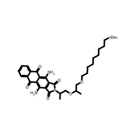 CCCCCCCCCCCCCCCCCCCOCC(C)OCC(C)n1c(=O)c2c(N)c3c(=O)c4ccccc4c(=O)c3c(N)c2c1=O